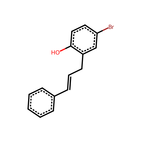 Oc1ccc(Br)cc1C/C=C/c1ccccc1